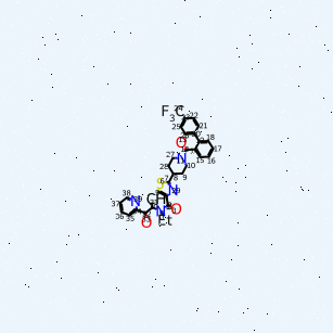 CCN(C(=O)c1csc(C2CCN(C(=O)c3ccccc3-c3ccc(C(F)(F)F)cc3)CC2)n1)C(C)C(=O)c1ccccn1